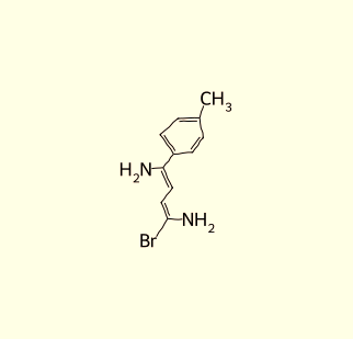 Cc1ccc(/C(N)=C/C=C(\N)Br)cc1